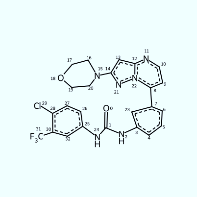 O=C(Nc1cccc(-c2ccnc3cc(N4CCOCC4)nn23)c1)Nc1ccc(Cl)c(C(F)(F)F)c1